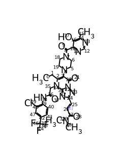 CCc1c(N2CCN(C(=O)c3ncnc(C)c3O)CC2)c(=O)n2nc(/C=C/C(=O)N(C)C)nc2n1CC(=O)Nc1ccc(C(F)(F)F)cc1Cl